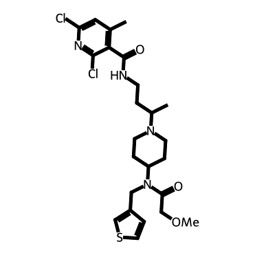 COCC(=O)N(Cc1ccsc1)C1CCN(C(C)CCNC(=O)c2c(C)cc(Cl)nc2Cl)CC1